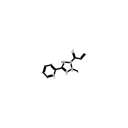 C=CC(=O)N1NC(c2ccccn2)=NN1C